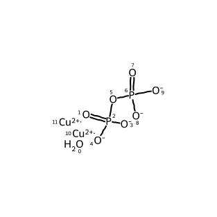 O.O=P([O-])([O-])OP(=O)([O-])[O-].[Cu+2].[Cu+2]